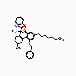 CCCCCCCc1cc(OCc2ccccc2)c(C2=C(C(C)(C)C(N)=O)CCC(C)C2)c(OCc2ccccc2)c1